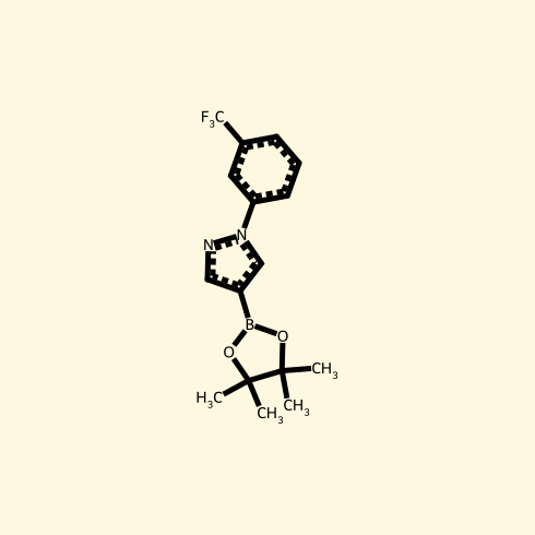 CC1(C)OB(c2cnn(-c3cccc(C(F)(F)F)c3)c2)OC1(C)C